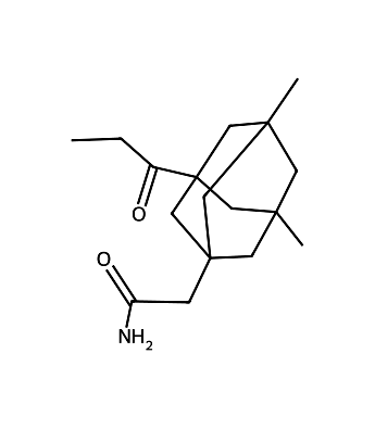 CCC(=O)C12CC3(C)CC(C)(CC(CC(N)=O)(C3)C1)C2